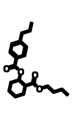 CCCCOC(=O)C1CCCCC1OC(=O)c1ccc(CCC)cc1